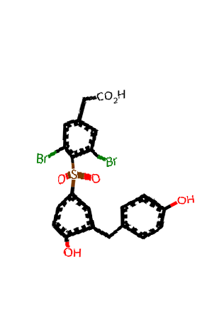 O=C(O)Cc1cc(Br)c(S(=O)(=O)c2ccc(O)c(Cc3ccc(O)cc3)c2)c(Br)c1